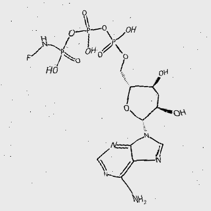 Nc1ncnc2c1ncn2[C@@H]1O[C@H](COP(=O)(O)OP(=O)(O)OP(=O)(O)NF)[C@@H](O)[C@H]1O